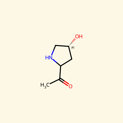 CC(=O)C1C[C@@H](O)CN1